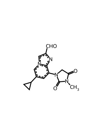 CN1C(=O)CN(c2cc(C3CC3)cn3cc(C=O)nc23)C1=O